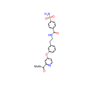 CNC(=O)c1cc(Oc2cccc(CCNC(=O)c3ccc(S(N)(=O)=O)cc3)c2)ccn1